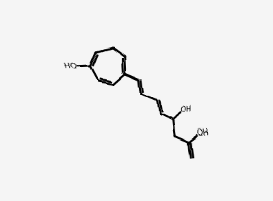 C=C(O)CC(O)/C=C/C=C/C1=CCC=C(O)C=C1